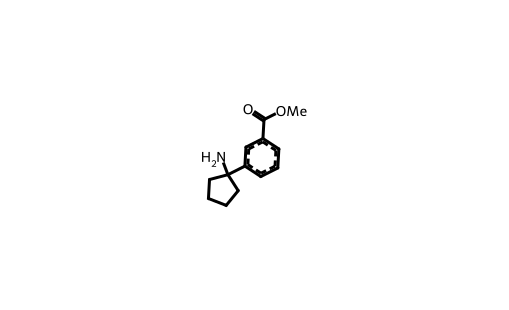 COC(=O)c1cccc(C2(N)CCCC2)c1